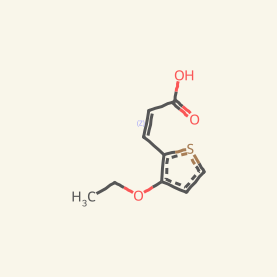 CCOc1ccsc1/C=C\C(=O)O